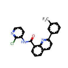 O=C(Nc1cccnc1Cl)c1cccc2ccc(-c3cccc(C(F)(F)F)c3)nc12